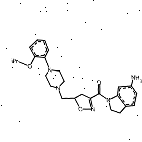 CC(C)Oc1ccccc1N1CCN(CC2CC(C(=O)N3CCc4ccc(N)cc43)=NO2)CC1